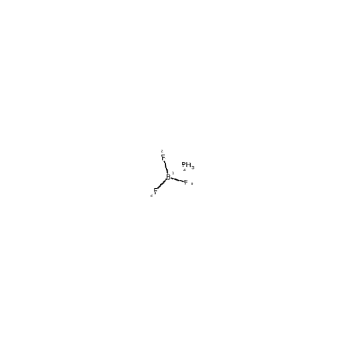 FB(F)F.P